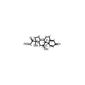 CC12C=CC(=O)C=C1CCC1C3CCC(O)(C(=O)CO)C3CC(O)C12F